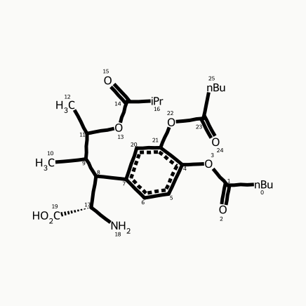 CCCCC(=O)Oc1ccc(C(C(C)C(C)OC(=O)C(C)C)[C@H](N)C(=O)O)cc1OC(=O)CCCC